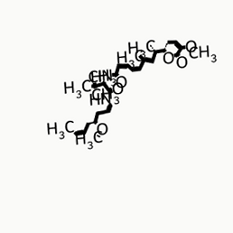 C/C=C\C[C@@H](C/C=C\NC(=O)C(NC(=O)\C=C/C=C\C(C)=C\[C@H](C)[C@@H]1CC=C(OC)C(=O)O1)C(C)(C)C)OC